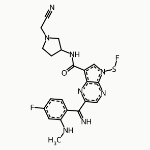 CNc1cc(F)ccc1C(=N)c1cnc2c(n1)c(C(=O)NC1CCN(CC#N)C1)cn2SF